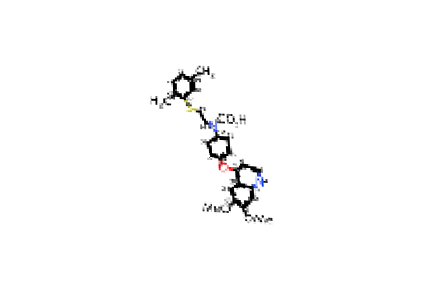 COc1cc2nccc(Oc3ccc(N(CCSc4cc(C)ccc4C)C(=O)O)cc3)c2cc1OC